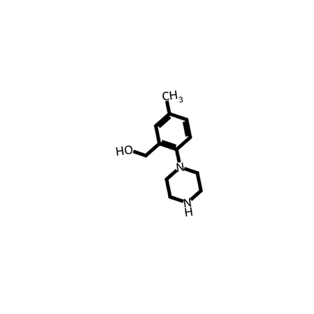 Cc1ccc(N2CCNCC2)c(CO)c1